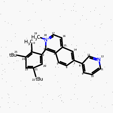 Cc1c(-c2c3ccc(-c4cccnc4)cc3cc[n+]2C)cc(C(C)(C)C)cc1C(C)(C)C